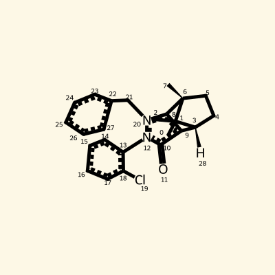 CC1(C)[C@@H]2CC[C@@]1(C)c1c2c(=O)n(-c2ccccc2Cl)n1Cc1ccccc1